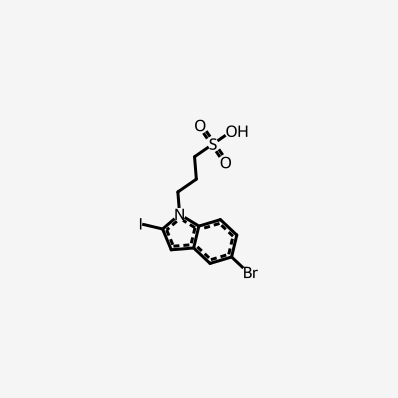 O=S(=O)(O)CCCn1c(I)cc2cc(Br)ccc21